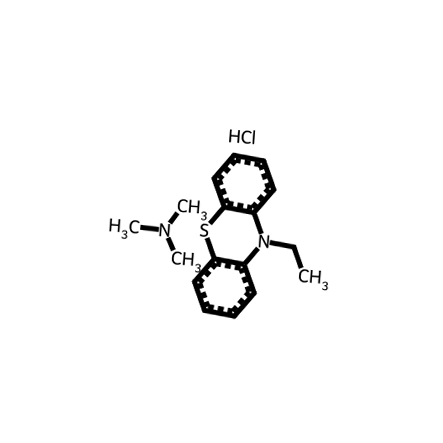 CCN1c2ccccc2Sc2ccccc21.CN(C)C.Cl